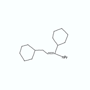 CCCC(=CCC1CCCCC1)C1CCCCC1